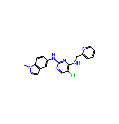 Cn1ccc2cc(Nc3ncc(Cl)c(NCc4ccccn4)n3)ccc21